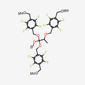 COCc1c(F)c(F)c(COC(C)C([O][Zr])(OCc2c(F)c(F)c(COC)c(F)c2F)OCc2c(F)c(F)c(COC)c(F)c2F)c(F)c1F